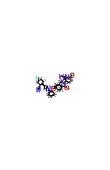 N#Cc1cc(F)ccc1C1CN([C@@H]2CCCC[C@@H]2Oc2ccc3c(c2)CN([C@@H]2CCC(=O)NC2=O)C3=O)C1